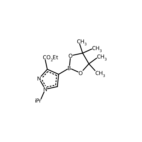 CCOC(=O)c1nn(C(C)C)cc1B1OC(C)(C)C(C)(C)O1